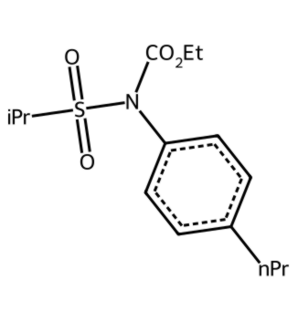 CCCc1ccc(N(C(=O)OCC)S(=O)(=O)C(C)C)cc1